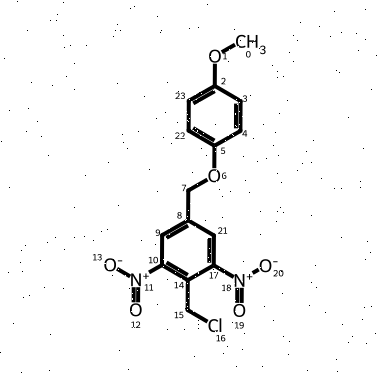 COc1ccc(OCc2cc([N+](=O)[O-])c(CCl)c([N+](=O)[O-])c2)cc1